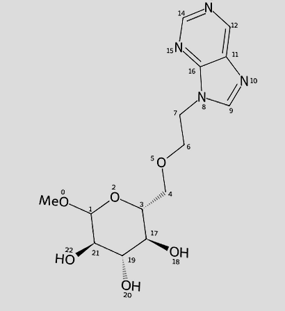 COC1O[C@H](COCCn2cnc3cncnc32)[C@@H](O)[C@H](O)[C@H]1O